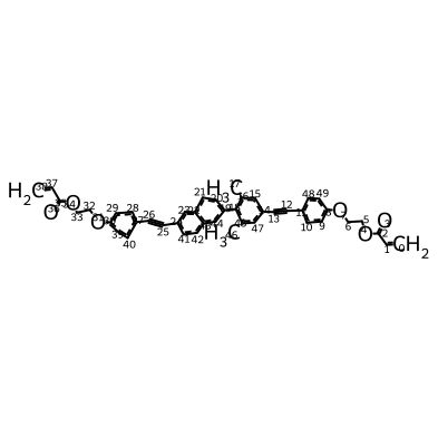 C=CC(=O)OCCOc1ccc(C#Cc2cc(C)c(-c3ccc4cc(C#Cc5ccc(OCCOC(=O)C=C)cc5)ccc4c3)c(C)c2)cc1